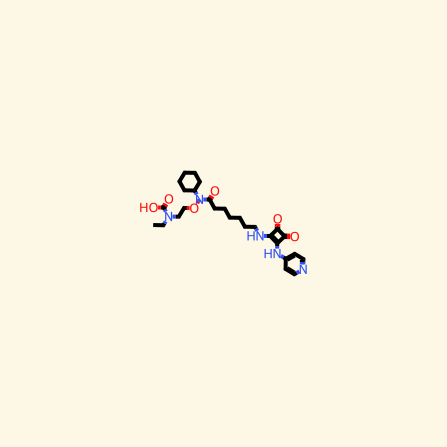 CCN(CCON(C(=O)CCCCCCNc1c(Nc2ccncc2)c(=O)c1=O)C1CCCCC1)C(=O)O